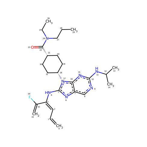 C=C/C=C(/Nc1nc2cnc(NC(C)C)nc2n1[C@H]1CC[C@@H](C(=O)N(CC)CCC)CC1)C(=C)F